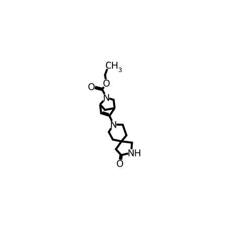 CCOC(=O)N1CC2CC1C=C2N1CCC2(CC1)CNC(=O)C2